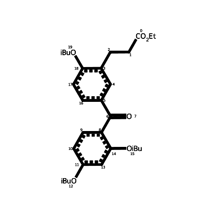 CCOC(=O)CCc1cc(C(=O)c2ccc(OCC(C)C)cc2OCC(C)C)ccc1OCC(C)C